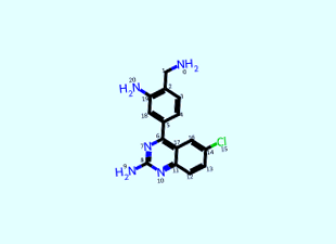 NCc1ccc(-c2nc(N)nc3ccc(Cl)cc23)cc1N